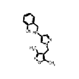 Cc1noc(C)c1Cn1cc(NCc2ccccc2C#N)cn1